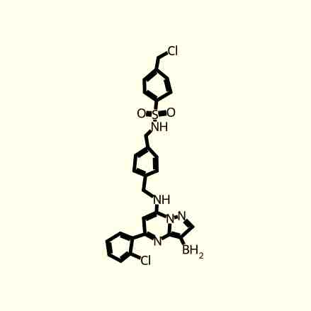 Bc1cnn2c(NCc3ccc(CNS(=O)(=O)c4ccc(CCl)cc4)cc3)cc(-c3ccccc3Cl)nc12